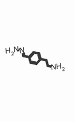 NCCc1ccc(C=NN)cc1